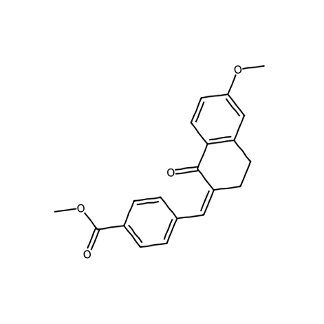 COC(=O)c1ccc(C=C2CCc3cc(OC)ccc3C2=O)cc1